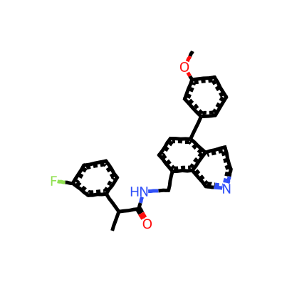 COc1cccc(-c2ccc(CNC(=O)C(C)c3cccc(F)c3)c3cnccc23)c1